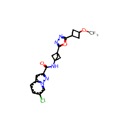 O=C(NC12CC(c3nnc(C4CC(OC(F)(F)F)C4)o3)(C1)C2)c1cc2ccc(Cl)cn2n1